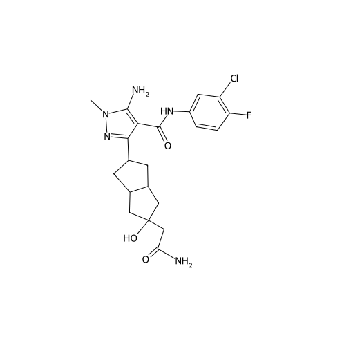 Cn1nc(C2CC3CC(O)(CC(N)=O)CC3C2)c(C(=O)Nc2ccc(F)c(Cl)c2)c1N